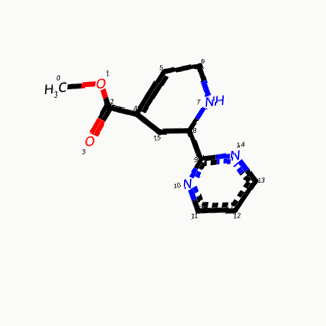 COC(=O)C1=CCNC(c2ncccn2)C1